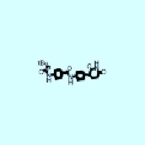 CC(C)(C)OC(=O)Nc1ccc(C(=O)Nc2ccc(C3CCC(=O)NC3=O)cc2)cc1